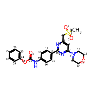 CS(=O)(=O)Cc1cc(N2CCOCC2)nc(-c2ccc(NC(=O)Oc3ccccc3)cc2)n1